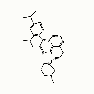 CC(C)c1ccc(-c2nnc(N[C@@H]3CCCN(C)C3)c3c(C(C)O)nccc23)c(C(C)C)c1